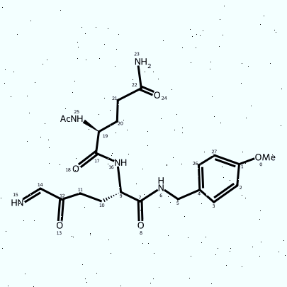 COc1ccc(CNC(=O)[C@H](CCC(=O)C=N)NC(=O)[C@H](CCC(N)=O)NC(C)=O)cc1